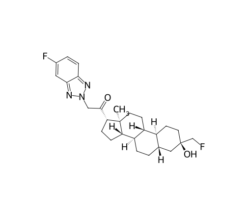 C[C@]12CC[C@H]3[C@@H](CC[C@H]4C[C@@](O)(CF)CC[C@@H]43)[C@@H]1CC[C@@H]2C(=O)Cn1nc2ccc(F)cc2n1